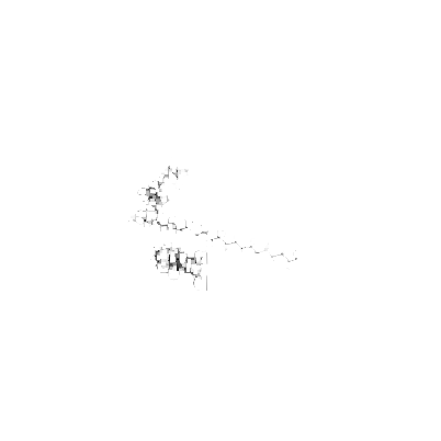 CCCCCCCCCCCCCCCCSCC(COC)COP(=O)([O-])OCC[N+](C)(C)C.O=P1(NCCCl)OCCCN1CCCl